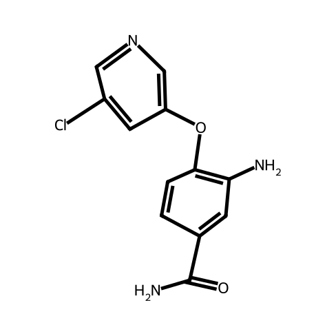 NC(=O)c1ccc(Oc2cncc(Cl)c2)c(N)c1